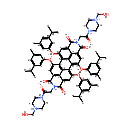 Cc1cc(Oc2cc3c4c(cc(Oc5cc(C)cc(C(C)C)c5)c5c6c(Oc7cc(C)cc(C(C)C)c7)cc7c8c(cc(Oc9cc(C)cc(C(C)C)c9)c(c2c45)c86)C(=O)N(CC(=O)N2CCN(CO)CC2)C7=O)C(=O)N(CC(=O)N2CCN(CO)CC2)C3=O)cc(C(C)C)c1